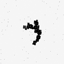 Cc1ccc(-c2cc(CN3CC[C@@H](F)[C@H](N)C3)cc(NC(=O)c3cc(-c4ccc(OCCOC(C)C)cc4)ccn3)c2)cn1